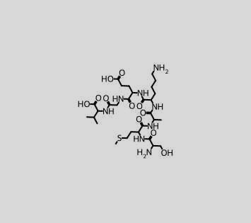 CSCCC(NC(=O)C(N)CO)C(=O)NC(C)C(=O)NC(CCCCN)C(=O)NC(CCC(=O)O)C(=O)NCC(=O)NC(C(=O)O)C(C)C